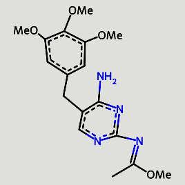 COC(C)=Nc1ncc(Cc2cc(OC)c(OC)c(OC)c2)c(N)n1